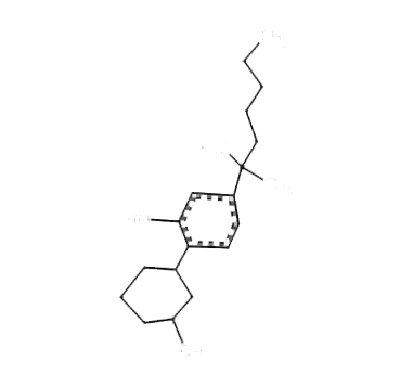 CCCCCC(C)(C)c1ccc(C2CCCC(O)C2)c(O)c1